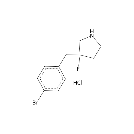 Cl.FC1(Cc2ccc(Br)cc2)CCNC1